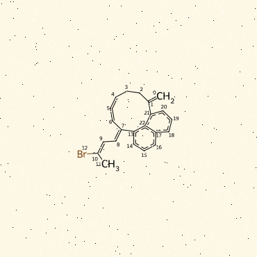 C=C1CCC=C=C/C(=C\C=C(/C)Br)c2cccc3cccc1c23